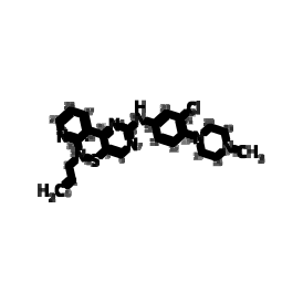 C=CCN1Sc2cnc(Nc3ccc(N4CCN(C)CC4)c(Cl)c3)nc2-c2cccnc21